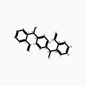 C=Cc1ccccc1C(C)c1ccc(C(C)c2ccccc2C=C)cc1